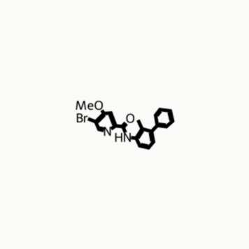 COc1cc(C(=O)Nc2cccc(-c3ccccc3)c2C)ncc1Br